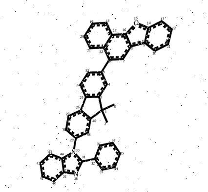 CC1(C)c2cc(-c3cc4c5ccccc5oc4c4ccccc34)ccc2-c2ccc(-n3c(-c4ccccc4)nc4ccccc43)cc21